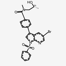 C[C@@H](O)CN(C)C(=O)c1ccc(-c2cn(S(=O)(=O)c3ccccc3)c3ncc(Br)cc23)cc1